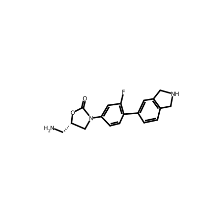 NC[C@H]1CN(c2ccc(-c3ccc4c(c3)CNC4)c(F)c2)C(=O)O1